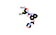 COC(=O)c1sc(C(C)(C)C)cc1NC(=O)Nc1ccc(OC(C)CN2CCOCC2)c2ccccc12